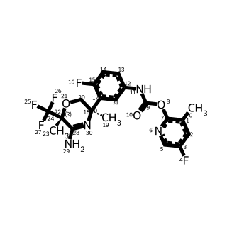 Cc1cc(F)cnc1OC(=O)Nc1ccc(F)c([C@]2(C)CO[C@@](C)(C(F)(F)F)C(N)=N2)c1